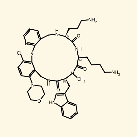 CN1C(=O)[C@H](CCCCN)NC(=O)[C@H](CCCN)NCc2cccnc2Sc2c(Cl)ccc(N3CCOCC3)c2CNC(=O)[C@@H]1Cc1c[nH]c2ccccc12